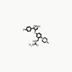 CN1CCN(c2ccc(Oc3c[nH]nc3-c3ccc(F)cc3)cc2CNC(N)=O)CC1